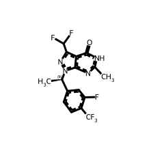 Cc1nc2c(c(C(F)F)nn2[C@H](C)c2ccc(C(F)(F)F)c(F)c2)c(=O)[nH]1